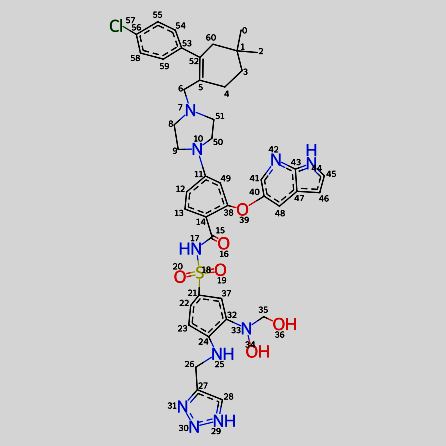 CC1(C)CCC(CN2CCN(c3ccc(C(=O)NS(=O)(=O)c4ccc(NCc5c[nH]nn5)c(N(O)CO)c4)c(Oc4cnc5[nH]ccc5c4)c3)CC2)=C(c2ccc(Cl)cc2)C1